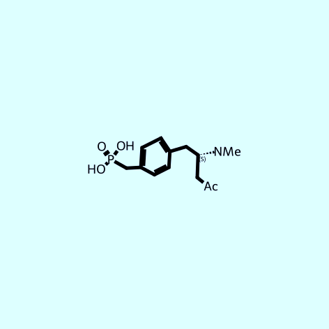 CN[C@H](CC(C)=O)Cc1ccc(CP(=O)(O)O)cc1